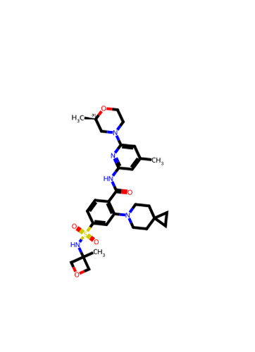 Cc1cc(NC(=O)c2ccc(S(=O)(=O)NC3(C)COC3)cc2N2CCC3(CC2)CC3)nc(N2CCO[C@H](C)C2)c1